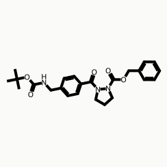 CC(C)(C)OC(=O)NCc1ccc(C(=O)N2CCCN2C(=O)OCc2ccccc2)cc1